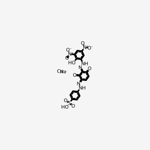 O=c1cc/c(=N\Nc2ccc(S(=O)(=O)O)cc2)c(=O)/c1=N/Nc1cc([N+](=O)[O-])cc([N+](=O)[O-])c1O.[Cu].[Na]